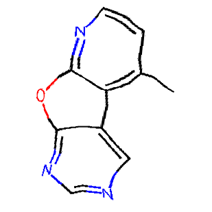 Cc1ccnc2oc3ncncc3c12